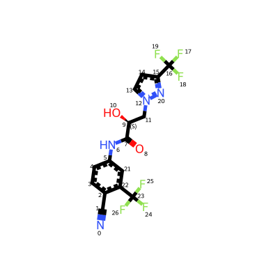 N#Cc1ccc(NC(=O)[C@@H](O)Cn2ccc(C(F)(F)F)n2)cc1C(F)(F)F